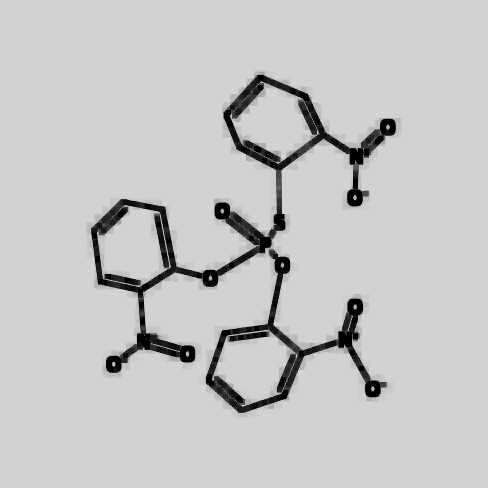 O=[N+]([O-])c1ccccc1OP(=O)(Oc1ccccc1[N+](=O)[O-])Sc1ccccc1[N+](=O)[O-]